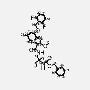 CCC(C)(CNC(=O)c1c(OC)nc2c(OCc3c(F)cccc3F)cc(C)cn12)NC(=O)OCc1ccccc1